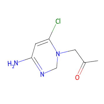 CC(=O)CN1CN=C(N)C=C1Cl